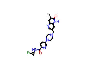 CCc1cc2ncc(CN3CCN(c4ccc(C(=O)NC5CC5F)nc4)CC3)cc2[nH]c1=O